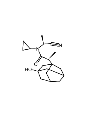 C[C@H](C(=O)N(C1CC1)[C@@H](C)C#N)C12CC3CC(CC(O)(C3)C1)C2